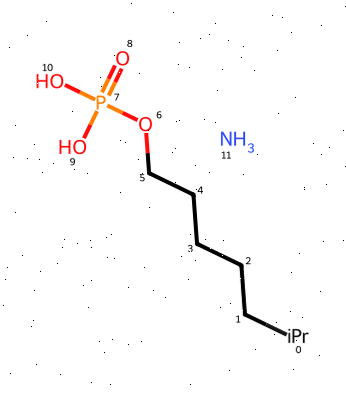 CC(C)CCCCCOP(=O)(O)O.N